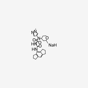 CC1CC(N(c2cnn(C)c2)S(=O)(=O)NC(=O)Nc2c3c(cc4c2CCC4)CCC3)CCO1.[NaH]